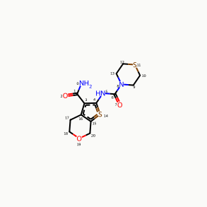 NC(=O)c1c(NC(=O)N2CCSCC2)sc2c1CCOC2